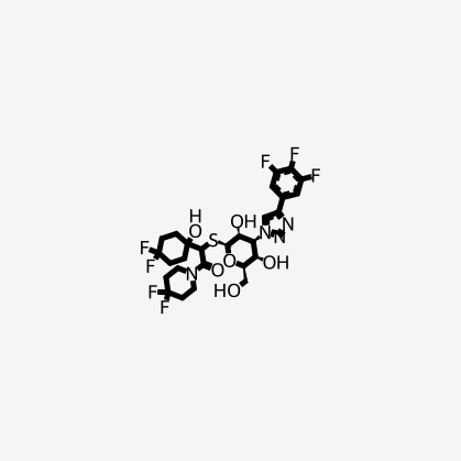 O=C(C(S[C@@H]1O[C@H](CO)[C@H](O)[C@H](n2cc(-c3cc(F)c(F)c(F)c3)nn2)[C@H]1O)C1(O)CCC(F)(F)CC1)N1CCC(F)(F)CC1